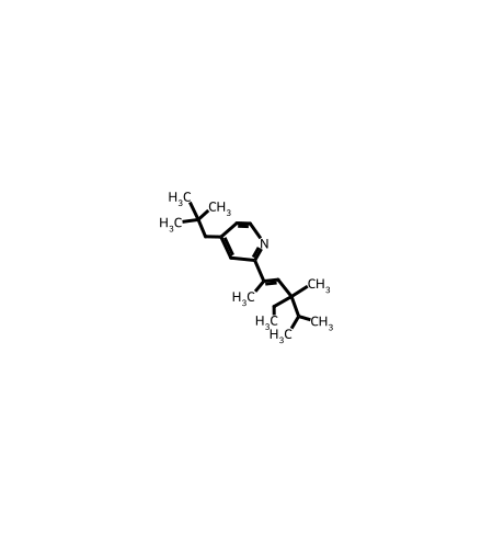 CCC(C)(/C=C(\C)c1cc(CC(C)(C)C)ccn1)C(C)C